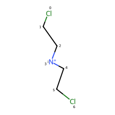 ClCC[N+]CCCl